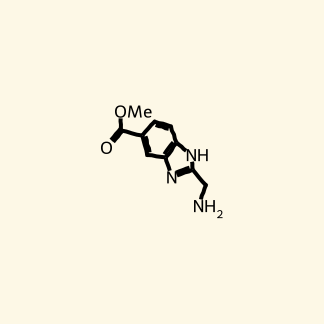 COC(=O)c1ccc2[nH]c(CN)nc2c1